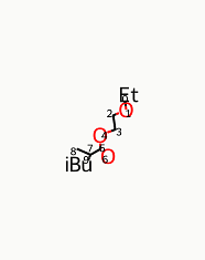 CCOCCOC(=O)C(C)C(C)CC